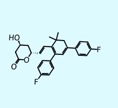 CC1(C)CC(c2ccc(F)cc2)=CC(c2ccc(F)cc2)=C1C=C[C@H]1C[C@H](O)CC(=O)O1